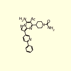 CC(=O)c1c(C2CCN(C(N)=O)CC2)nc2c(-c3ccc(-c4ccccc4)nc3)cnn2c1N